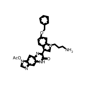 CC(=O)On1cnc2cc3[nH]c(=O)c(-c4cn(CCCN)c5cc(OCc6ccccc6)ccc45)nc3cc21